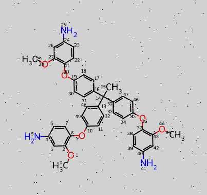 COc1cc(N)ccc1Oc1ccc(C(C)(c2ccc(Oc3ccc(N)cc3OC)cc2)c2ccc(Oc3ccc(N)cc3OC)cc2)cc1